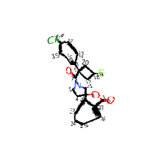 O=C1OC2(CCN(C(=O)C3(c4ccc(Cl)cc4)CC(F)C3)C2)c2ccccc21